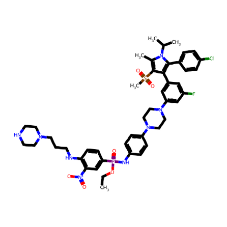 CCOP(=O)(Nc1ccc(N2CCN(c3cc(F)cc(-c4c(S(C)(=O)=O)c(C)n(C(C)C)c4-c4ccc(Cl)cc4)c3)CC2)cc1)c1ccc(NCCCN2CCNCC2)c([N+](=O)[O-])c1